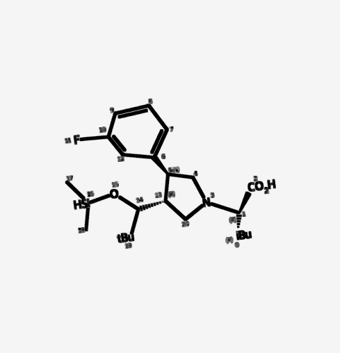 CC[C@@H](C)[C@H](C(=O)O)N1C[C@H](c2cccc(F)c2)[C@@H](C(O[SiH](C)C)C(C)(C)C)C1